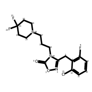 O=c1onc(Cc2c(F)cccc2Cl)n1CCCN1CCC(F)(F)CC1